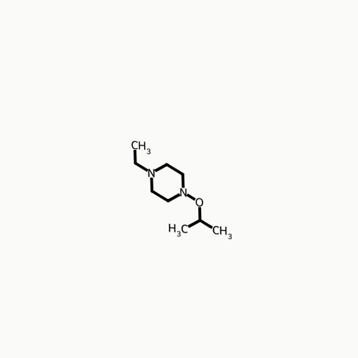 CCN1CCN(OC(C)C)CC1